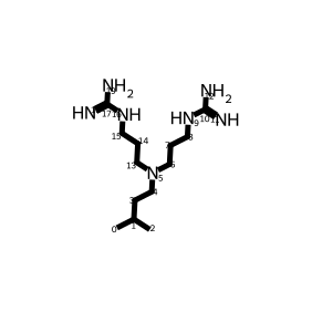 CC(C)CCN(CCCNC(=N)N)CCCNC(=N)N